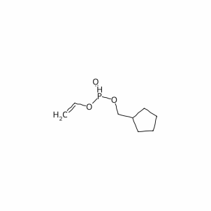 C=CO[PH](=O)OCC1CCCC1